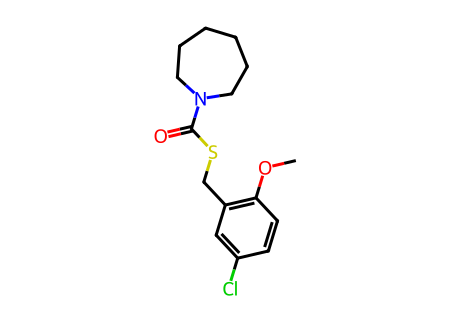 COc1ccc(Cl)cc1CSC(=O)N1CCCCCC1